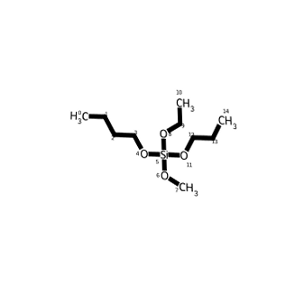 CCCCO[Si](OC)(OCC)OCCC